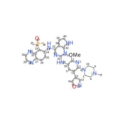 COc1nc(N2CCN(C)CC2)c(-c2cnoc2)cc1Nc1nc(Nc2ccc3nccnc3c2P(C)(C)=O)c2cc[nH]c2n1